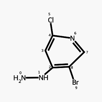 NNc1cc(Cl)ncc1Br